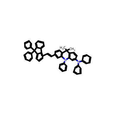 CC1(C)c2ccc(/C=C/c3cccc4c3-c3ccccc3C4(c3ccccc3)c3ccccc3)cc2N(c2ccccc2)c2cc(N(c3ccccc3)c3ccccc3)ccc21